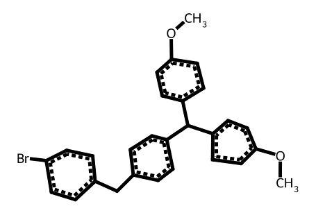 COc1ccc([C](c2ccc(Cc3ccc(Br)cc3)cc2)c2ccc(OC)cc2)cc1